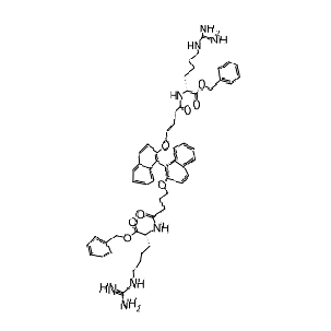 N=C(N)NCCCC[C@@H](NC(=O)CCCOc1ccc2ccccc2c1-c1c(OCCCC(=O)N[C@H](CCCCNC(=N)N)C(=O)OCc2ccccc2)ccc2ccccc12)C(=O)OCc1ccccc1